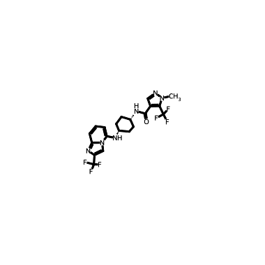 Cn1ncc(C(=O)N[C@H]2CC[C@@H](Nc3cccc4nc(C(F)(F)F)cn34)CC2)c1C(F)(F)F